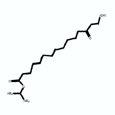 CCCCCCCCCCCCC(=O)CCCCCCCCCCCC(=O)OC(CCCC)CCCC